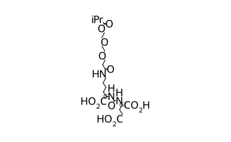 CC(C)C(=O)OCCOCCOCCC(=O)NCCCC[C@H](NC(=O)N[C@@H](CCC(=O)O)C(=O)O)C(=O)O